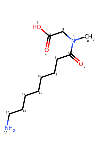 CN(CC(=O)O)C(=O)CCCCCCCN